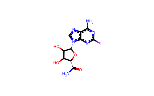 NC(=O)[C@H]1O[C@@H](n2cnc3c(N)nc(I)nc32)C(O)C1O